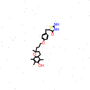 Cc1c(C)c2c(c(C)c1O)CCC(C)(CCCOc1ccc(CC3SC(=N)NC3=O)cc1)O2